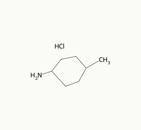 CC1CCC(N)CC1.Cl